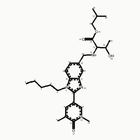 CCCCCn1c(-c2cc(C)c(=O)n(C)c2)nc2cc(CNC(C(=O)OCC(C)C)C(C)O)ccc21